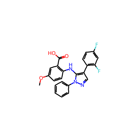 COc1ccc(Nc2c(-c3ccc(F)cc3F)cnn2-c2ccccc2)c(C(=O)O)c1